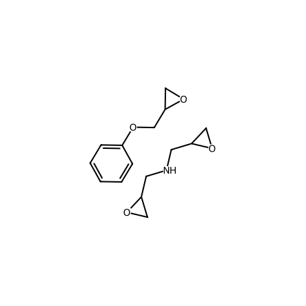 C(NCC1CO1)C1CO1.c1ccc(OCC2CO2)cc1